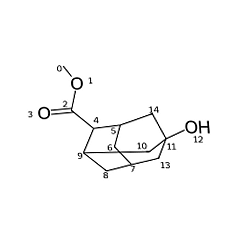 COC(=O)C1C2CC3CC1CC(O)(C3)C2